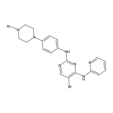 CC(=O)N1CCN(c2ccc(Nc3ncc(Br)c(Nc4ccccn4)n3)cc2)CC1